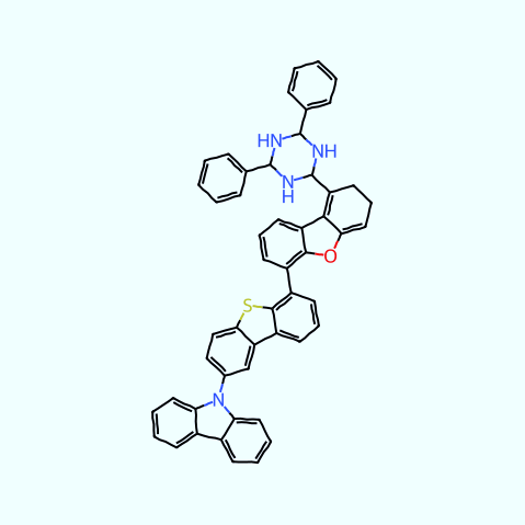 C1=c2oc3c(-c4cccc5c4sc4ccc(-n6c7ccccc7c7ccccc76)cc45)cccc3c2=C(C2NC(c3ccccc3)NC(c3ccccc3)N2)CC1